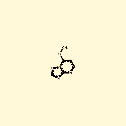 COc1ccnc2ncnn12